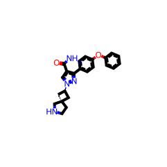 NC(=O)c1cn([C@H]2C[C@@]3(CCNC3)C2)nc1-c1ccc(Oc2ccccc2)cc1